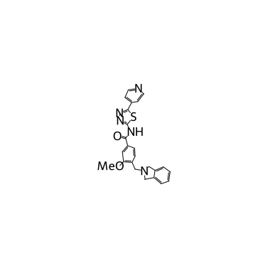 COc1cc(C(=O)Nc2nnc(-c3ccncc3)s2)ccc1CN1Cc2ccccc2C1